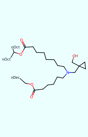 CCCCCCCCCCCOC(=O)CCCCCN(CCCCCCCC(=O)OC(CCCCCCCC)CCCCCCCC)CC1(CO)CC1